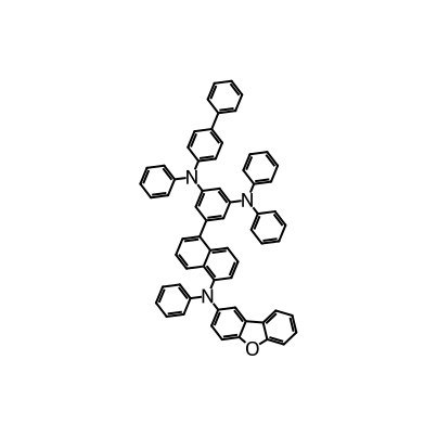 c1ccc(-c2ccc(N(c3ccccc3)c3cc(-c4cccc5c(N(c6ccccc6)c6ccc7oc8ccccc8c7c6)cccc45)cc(N(c4ccccc4)c4ccccc4)c3)cc2)cc1